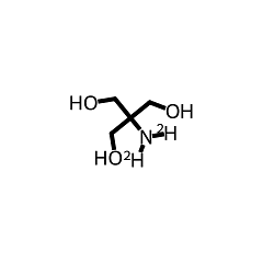 [2H]N([2H])C(CO)(CO)CO